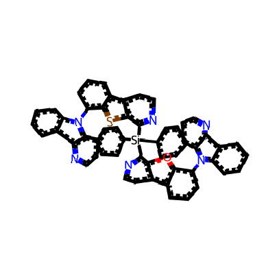 c1ccc([Si](c2ccccc2)(c2nccc3c2oc2c(-n4c5ccccc5c5ncccc54)cccc23)c2nccc3c2sc2c(-n4c5ccccc5c5ncccc54)cccc23)cc1